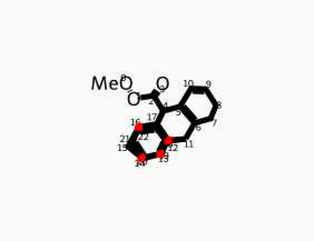 COOC(=O)C12C3=C(CCC=C3)C(c3ccccc31)c1ccccc12